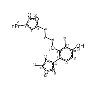 CCCc1cc(CCCOc2c(-c3noc(C)n3)ccc(O)c2C)on1